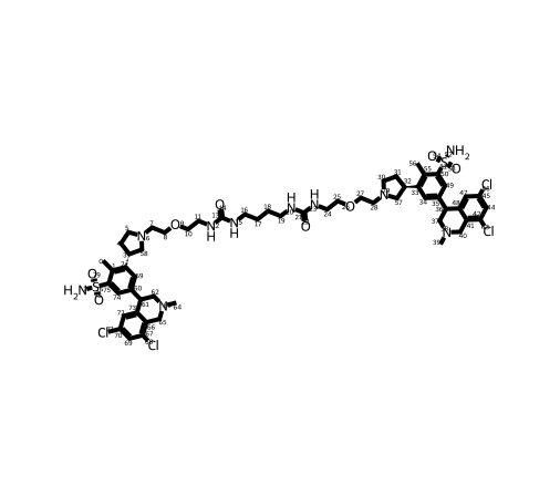 Cc1c([C@@H]2CCN(CCOCCNC(=O)NCCCCNC(=O)NCCOCCN3CC[C@@H](c4cc(C5CN(C)Cc6c(Cl)cc(Cl)cc65)cc(S(N)(=O)=O)c4C)C3)C2)cc(C2CN(C)Cc3c(Cl)cc(Cl)cc32)cc1S(N)(=O)=O